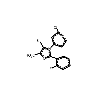 O=C(O)c1nc(-c2ccccc2F)n(-c2cccc(Cl)c2)c1Br